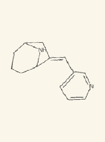 C(=C1CC2CCCC1N2)c1cccnc1